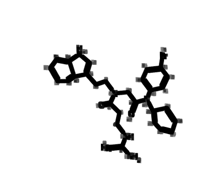 N=C(N)NCCC(=O)N(CCc1c[nH]c2ccccc12)CC(=O)N(c1ccccc1)c1ccc(Br)cc1